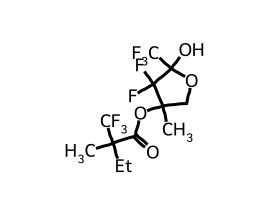 CCC(C)(C(=O)OC1(C)COC(O)(C(F)(F)F)C1(F)F)C(F)(F)F